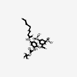 C=C(CCCCCCC)Nc1ccc(OC(=C)c2cc([N+](=O)[O-])cc([N+](=O)[O-])c2)c(NC(=O)OC(C)(C)C)c1